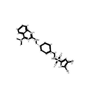 CN(C)c1nc(NC[C@H]2CC[C@H](CNS(=O)(=O)c3cc(Br)c(Br)s3)CC2)nc2ccccc12